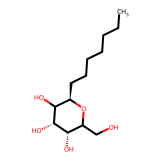 CCCCCCC[C@H]1OC(CO)[C@H](O)[C@H](O)C1O